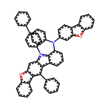 c1ccc(-c2ccc(-n3c4cc5oc6ccccc6c5c(-c5ccccc5)c4c4cccc(N(c5ccccc5)c5ccc6c(c5)oc5ccccc56)c43)cc2)cc1